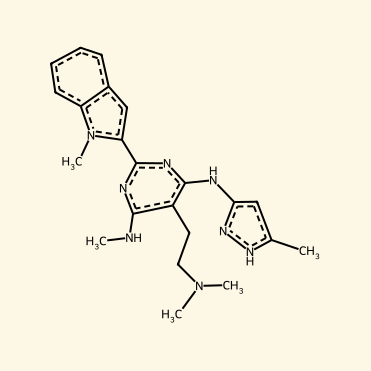 CNc1nc(-c2cc3ccccc3n2C)nc(Nc2cc(C)[nH]n2)c1CCN(C)C